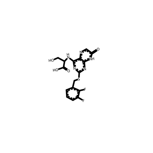 O=C(O)C(CO)Nc1nc(SCc2cccc(F)c2F)nc2[nH]c(=O)cnc12